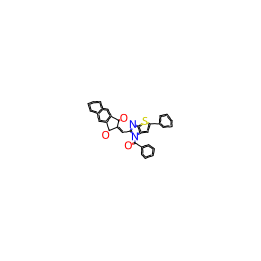 O=C1C(=Cc2nc3sc(-c4ccccc4)cc3n2C(=O)c2ccccc2)C(=O)c2cc3ccccc3cc21